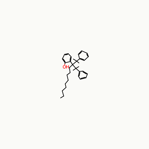 CCCCCCCCCC(c1ccccc1O)(C(C)(C)c1ccccc1)C(C)(C)c1ccccc1